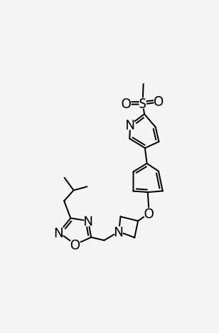 CC(C)Cc1noc(CN2CC(Oc3ccc(-c4ccc(S(C)(=O)=O)nc4)cc3)C2)n1